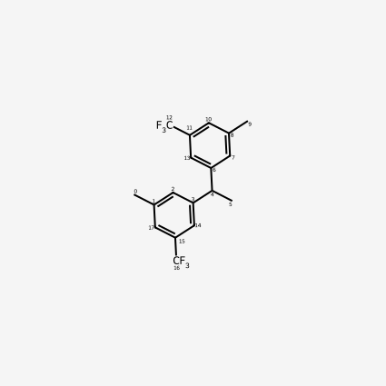 Cc1cc(C(C)c2cc(C)cc(C(F)(F)F)c2)cc(C(F)(F)F)c1